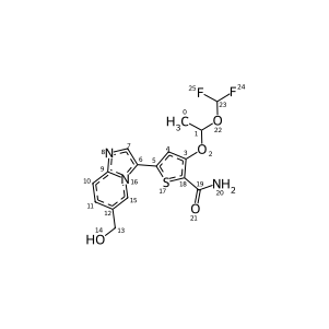 CC(Oc1cc(-c2cnc3ccc(CO)cn23)sc1C(N)=O)OC(F)F